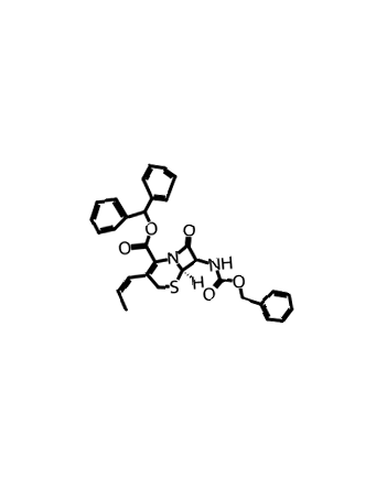 C/C=C\C1=C(C(=O)OC(c2ccccc2)c2ccccc2)N2C(=O)C(NC(=O)OCc3ccccc3)[C@H]2SC1